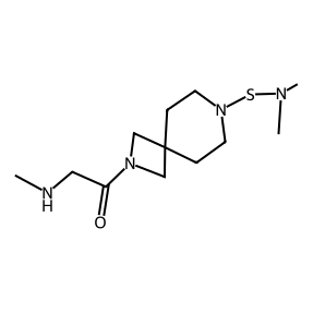 CNCC(=O)N1CC2(CCN(SN(C)C)CC2)C1